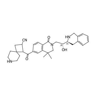 CC1(C)CN(C[C@@H](O)[C@@H]2Cc3ccccc3CN2)C(=O)c2ccc(C(=O)C3C(C#N)CC34CCNCC4)cc21